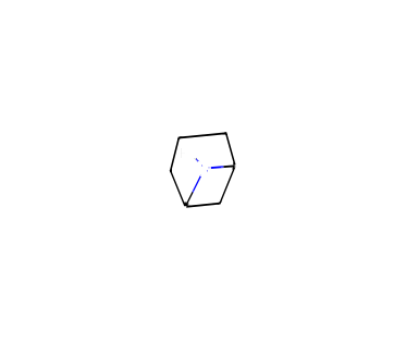 [CH2]CN1C2CCCC1C2